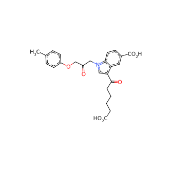 Cc1ccc(OCC(=O)Cn2cc(C(=O)CCCCC(=O)O)c3cc(C(=O)O)ccc32)cc1